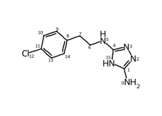 Nc1nnc(NCCc2ccc(Cl)cc2)[nH]1